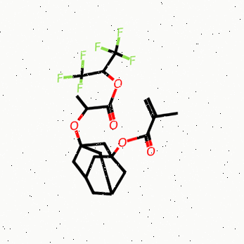 C=C(C)C(=O)OC12CC3CC(C1)CC(OC(C)C(=O)OC(C(F)(F)F)C(F)(F)F)(C3)C2